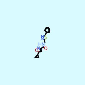 O=C(NCc1nnc(-c2ccccc2)s1)c1cc(C2CC2)on1